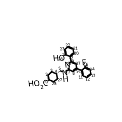 O=C(O)[C@H]1CC[C@H](CNc2cc(-c3ccccc3F)cc(-c3ccccc3O)n2)CC1